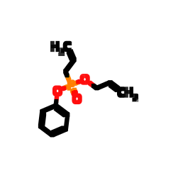 C=CCOP(=O)(CC=C)Oc1ccccc1